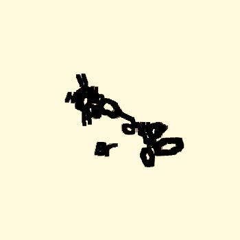 O=C(CC1CCC2(CC1)OOC1(OO2)[C@H]2C[C@@H]3C[C@@H](C[C@H]1C3)C2)NCCC[P+](c1ccccc1)(c1ccccc1)c1ccccc1.[Br-]